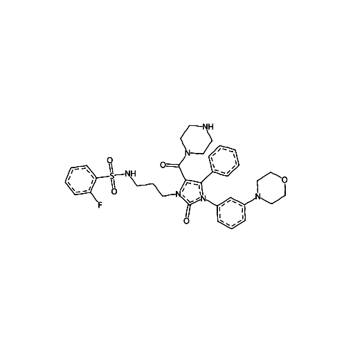 O=C(c1c(-c2ccccc2)n(-c2cccc(N3CCOCC3)c2)c(=O)n1CCCNS(=O)(=O)c1ccccc1F)N1CCNCC1